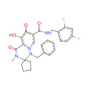 CN1C(=O)c2c(O)c(=O)c(C(=O)NCc3ccc(F)cc3F)cn2N(Cc2ccccc2)C12CCCC2